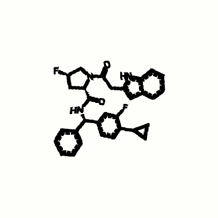 O=C(N[C@@H](c1ccccc1)c1ccc(C2CC2)c(F)c1)[C@@H]1C[C@@H](F)CN1C(=O)Cc1cc2ccccc2[nH]1